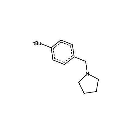 CC(C)(C)c1[c]cc(CN2CCCC2)cc1